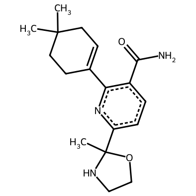 CC1(C)CC=C(c2nc(C3(C)NCCO3)ccc2C(N)=O)CC1